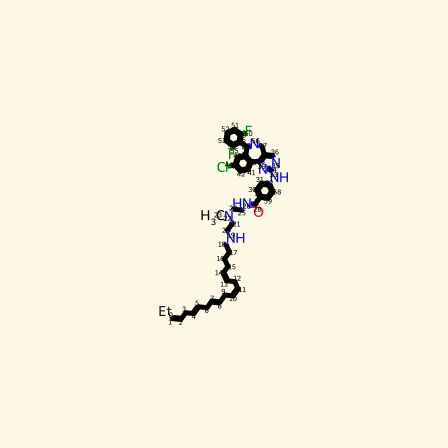 CC/C=C\CC=CCC=CC/C=C\C/C=C\CCCCNCCN(C)CCNC(=O)c1ccc(Nc2ncc3c(n2)-c2ccc(Cl)cc2C(c2c(F)cccc2F)=NC3)cc1